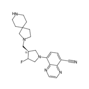 N#Cc1ccc(N2CC(F)[C@@H](CN3CCC4(CCNCC4)C3)C2)c2nccnc12